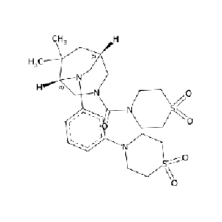 CC1(C)C[C@@H]2CN(C(=O)N3CCS(=O)(=O)CC3)C[C@H]1N(c1cccc(N3CCS(=O)(=O)CC3)c1)C2